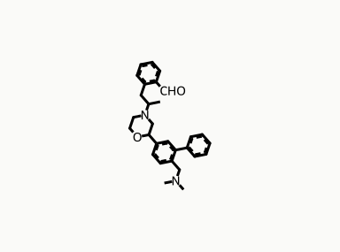 CC(Cc1ccccc1C=O)N1CCOC(c2ccc(CN(C)C)c(-c3ccccc3)c2)C1